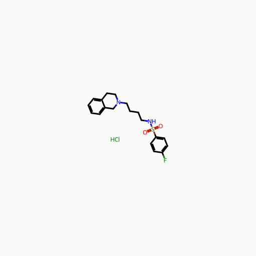 Cl.O=S(=O)(NCCCCN1CCc2ccccc2C1)c1ccc(F)cc1